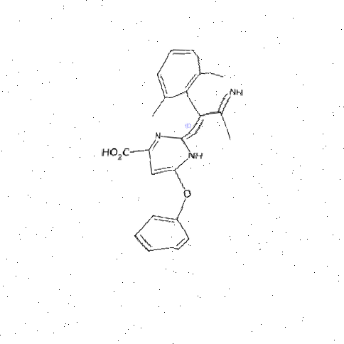 CC(=N)/C(=C1/N=C(C(=O)O)C=C(Oc2ccccc2)N1)c1c(C)cccc1C